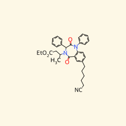 CCOC(=O)CC(C)N1C(=O)c2cc(CCCCCC#N)ccc2N(c2ccccc2)C(=O)C1c1ccccc1